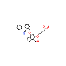 COC(=O)CCCCOc1cc(OCc2cccc(-c3ccccc3)c2C#N)c2c(c1C=O)CCC2